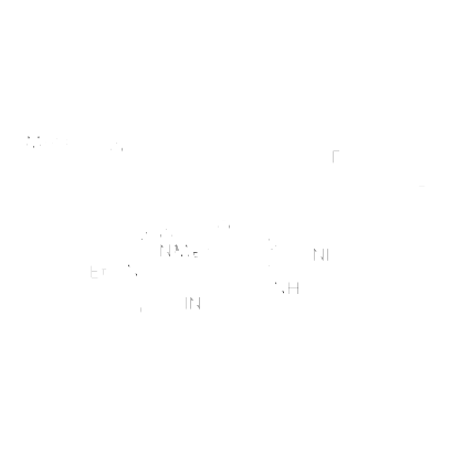 CCN(C(=O)c1[nH]cc(C(=N)SC(=N)Cc2ccc(F)cc2F)c(=O)c1O)C1(NC)CCC(CC(=O)OC)C1